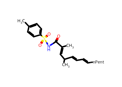 CCCCCC=CC=CC(C)C=C(C)C(=O)NS(=O)(=O)c1ccc(C)cc1